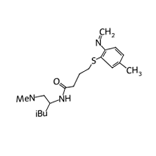 C=Nc1ccc(C)cc1SCCCC(=O)NC(CNC)C(C)CC